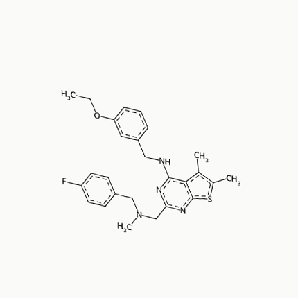 CCOc1cccc(CNc2nc(CN(C)Cc3ccc(F)cc3)nc3sc(C)c(C)c23)c1